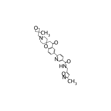 Cc1cc(CNC(=O)c2ccc(-c3ccc4c(c3)C(=O)CC3(CCN(CC5(C)COC5)CC3)O4)nc2)on1